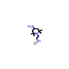 CCNCCN1C(C)(C)CC(N)CC1(C)C